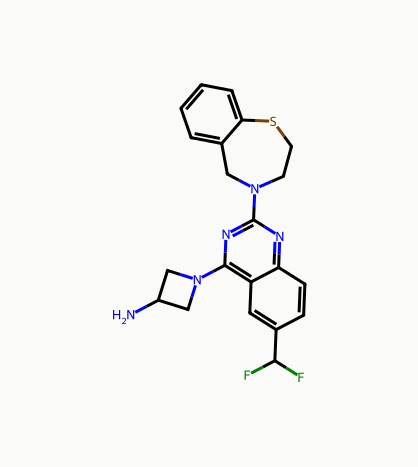 NC1CN(c2nc(N3CCSc4ccccc4C3)nc3ccc(C(F)F)cc23)C1